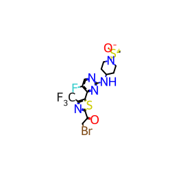 C[S+]([O-])N1CCC(Nc2ncc(F)c(-c3sc(C(=O)CBr)nc3C(F)(F)F)n2)CC1